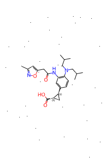 Cc1cc(CC(=O)Nc2cc([C@H]3C[C@H]3C(=O)O)ccc2N(CC(C)C)CC(C)C)on1